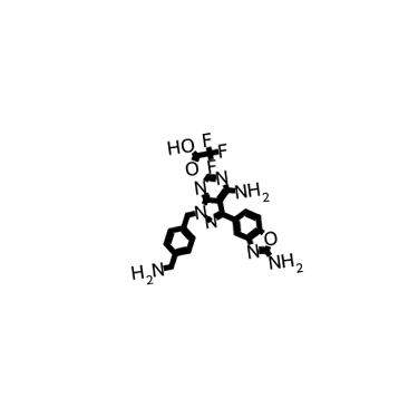 NCc1ccc(Cn2nc(-c3ccc4oc(N)nc4c3)c3c(N)ncnc32)cc1.O=C(O)C(F)(F)F